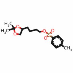 Cc1ccc(S(=O)(=O)OCCCCC2COC(C)(C)O2)cc1